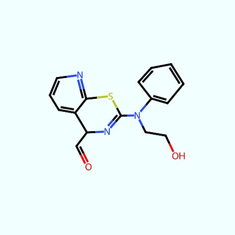 O=CC1N=C(N(CCO)c2ccccc2)Sc2ncccc21